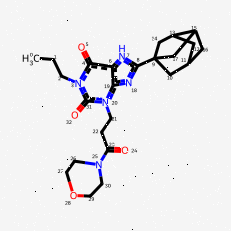 CCCn1c(=O)c2[nH]c(C34CC5CC(C3)C(C5)C4)nc2n(CCC(=O)N2CCOCC2)c1=O